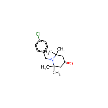 CC1(C)CC(=O)CC(C)(C)N1Cc1ccc(Cl)cc1